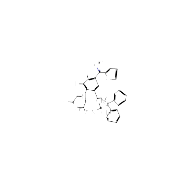 C[C@@H]1CN(c2c(CO[Si](c3ccccc3)(c3ccccc3)C(C)(C)C)cc(/C(=N/O)c3ccco3)c(F)c2F)C[C@H](C)O1